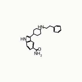 NC(=O)c1ccc2[nH]cc(C3CCC(NCCc4ccccc4)CC3)c2c1